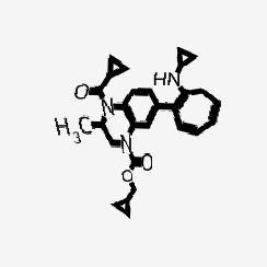 CC1CN(C(=O)OCC2CC2)c2cc(C3=C(NC4CC4)CC=CC=C3)ccc2N1C(=O)C1CC1